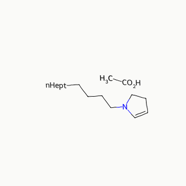 CC(=O)O.CCCCCCCCCCCN1C=CCC1